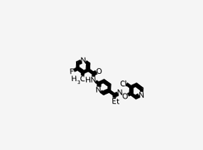 CC/C(=N\Oc1cnccc1Cl)c1ccc(NC(=O)c2cncc(F)c2C)nc1